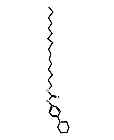 CCCCCCCCCCCCCCCCOC(=O)Nc1ccc(N2CCCCC2)cc1